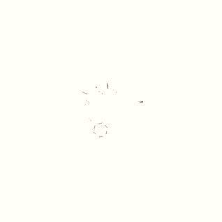 CC(C)[C@@H](NC(=O)NCC(C)(C)OP(=O)(O)O)C(=O)N1CC[C@](O)(c2ccc(Cl)cc2)C(C)(C)C1